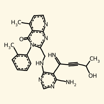 Cc1ccccc1-n1c(CNc2ncnc(N)c2C(=N)C#CC(C)O)nc2nccc(C)c2c1=O